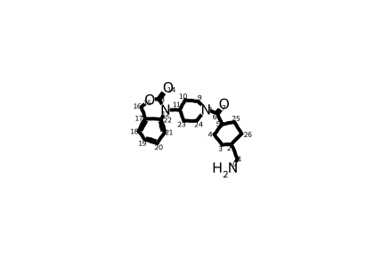 NCC1CCC(C(=O)N2CCC(N3C(=O)OCc4ccccc43)CC2)CC1